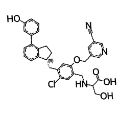 N#Cc1cncc(COc2cc(C[C@H]3CCc4c(-c5cccc(O)c5)cccc43)c(Cl)cc2CNC(CO)C(=O)O)c1